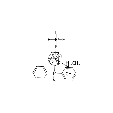 C[NH+](C)[C]12[CH]3[CH]4[CH]5[C]1(P(=S)(c1ccccc1)c1ccccc1)[Fe]43521678[CH]2[CH]1[CH]6[CH]7[CH]28.F[B-](F)(F)F